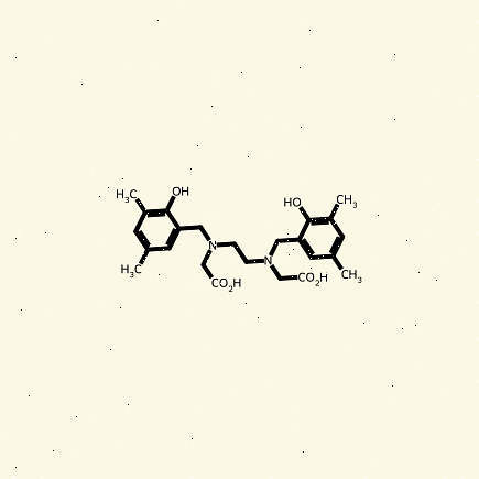 Cc1cc(C)c(O)c(CN(CCN(CC(=O)O)Cc2cc(C)cc(C)c2O)CC(=O)O)c1